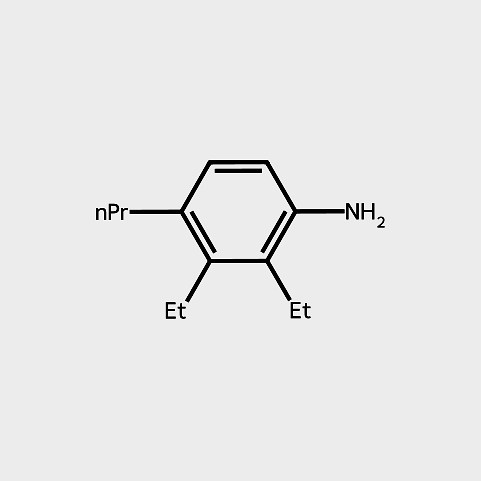 CCCc1ccc(N)c(CC)c1CC